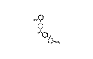 CC1(c2ccc(C(=O)N3CCN(c4ccccc4O)CC3)cc2)CCSC(N)=N1